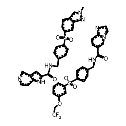 Cn1cc2ccc(S(=O)(=O)c3ccc(CNC(=O)c4cc5cnccc5[nH]4)cc3)cc2n1.O=C(NCc1ccc(S(=O)(=O)c2cccc(OCC(F)(F)F)c2)cc1)c1ccc2nccn2c1